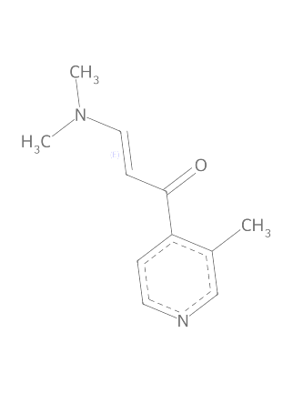 Cc1cnccc1C(=O)/C=C/N(C)C